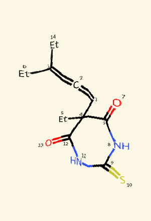 CCC(=C=CC1(CC)C(=O)NC(=S)NC1=O)CC